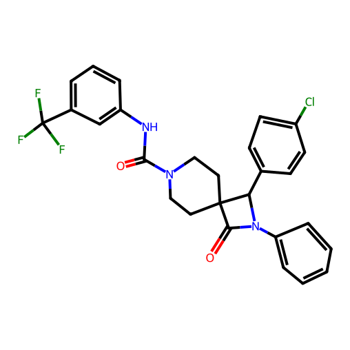 O=C(Nc1cccc(C(F)(F)F)c1)N1CCC2(CC1)C(=O)N(c1ccccc1)C2c1ccc(Cl)cc1